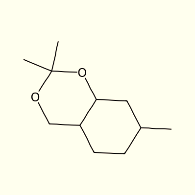 CC1CCC2COC(C)(C)OC2C1